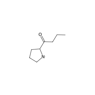 CCCC(=O)C1CCC[N]1